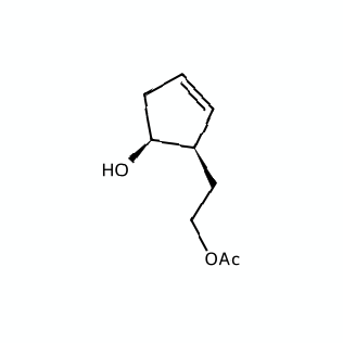 CC(=O)OCC[C@@H]1C=CC[C@@H]1O